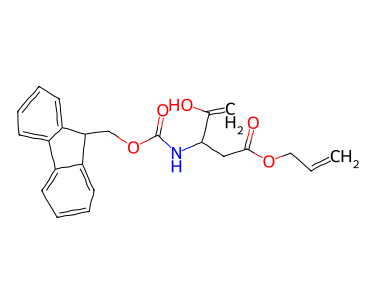 C=CCOC(=O)CC(NC(=O)OCC1c2ccccc2-c2ccccc21)C(=C)O